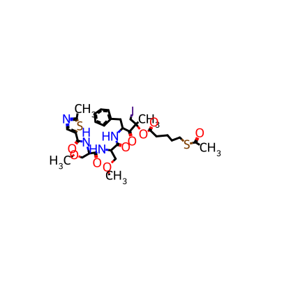 COCC(NC(=O)c1cnc(C)s1)C(=O)NC(COC)C(=O)NC(Cc1ccccc1)C(=O)C(C)(CI)OC(=O)CCCCSC(C)=O